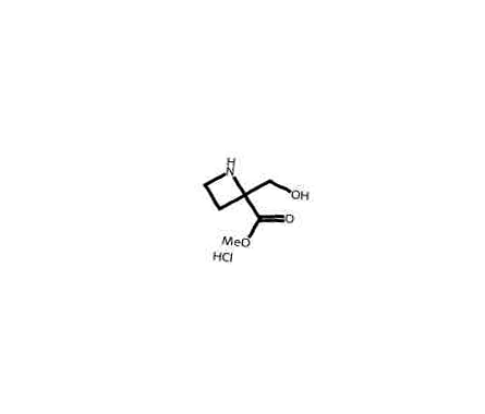 COC(=O)C1(CO)CCN1.Cl